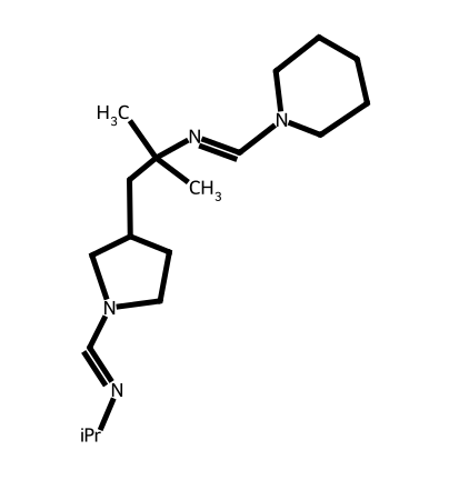 CC(C)/N=C/N1CCC(CC(C)(C)/N=C/N2CCCCC2)C1